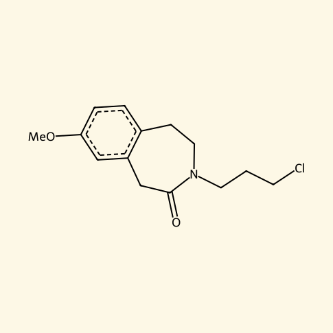 COc1ccc2c(c1)CC(=O)N(CCCCl)CC2